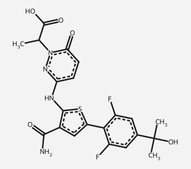 CC(C(=O)O)n1nc(Nc2sc(-c3c(F)cc(C(C)(C)O)cc3F)cc2C(N)=O)ccc1=O